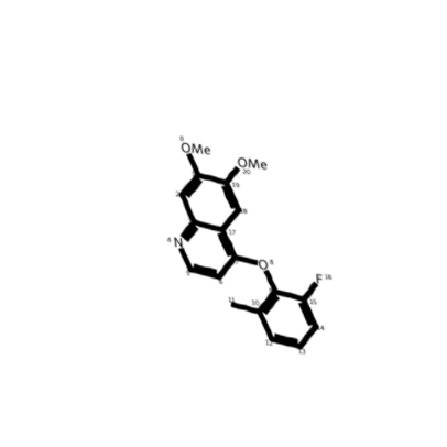 COc1cc2nccc(Oc3c(C)cccc3F)c2cc1OC